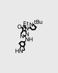 CCn1c(=O)c2cnc(Nc3ccc4c(c3)CNC4)nc2n1-c1cccc(C(C)(C)C)n1